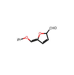 CC(C)OC=C1C=CC(C=O)O1